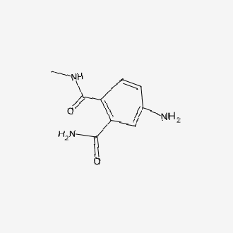 CNC(=O)c1ccc(N)cc1C(N)=O